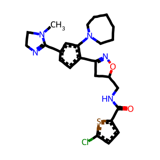 CN1CCN=C1c1ccc(C2=NOC(CNC(=O)c3ccc(Cl)s3)C2)c(N2CCCCCC2)c1